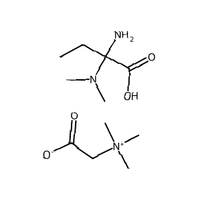 CCC(N)(C(=O)O)N(C)C.C[N+](C)(C)CC(=O)[O-]